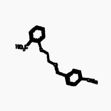 COc1ccc(COCCOc2ccccc2C(=O)O)cc1